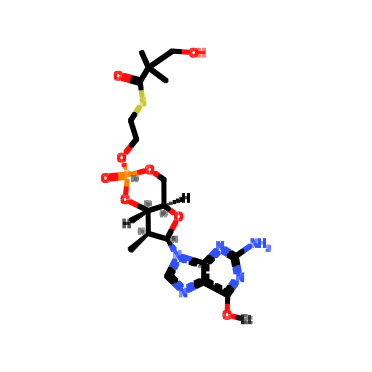 CCOc1nc(N)nc2c1ncn2[C@@H]1O[C@@H]2CO[P@@](=O)(OCCSC(=O)C(C)(C)CO)O[C@H]2[C@@H]1C